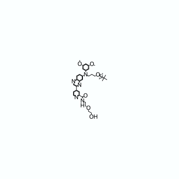 COc1cc(OC)cc(N(CCCO[Si](C)(C)C(C)(C)C)c2ccc3ncc(-c4ccnc(C(=O)NCCOCCO)c4)nc3c2)c1